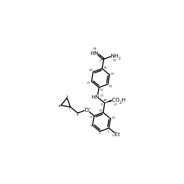 CCc1ccc(OCC2CC2)c([C@@H](Nc2ccc(C(=N)N)cc2)C(=O)O)c1